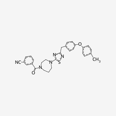 Cc1ccc(Oc2ccc(Cc3nsc(N4CCCN(C(=O)c5cccc(C#N)c5)CC4)n3)cc2)cc1